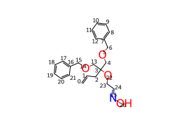 C=CCC(COCc1ccccc1)(COCc1ccccc1)OCC=NO